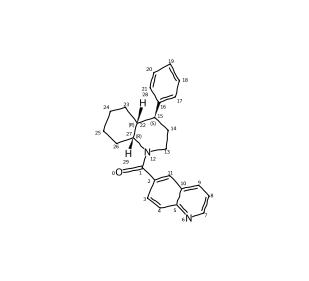 O=C(c1ccc2ncccc2c1)N1CC[C@H](c2ccccc2)[C@H]2CCCC[C@H]21